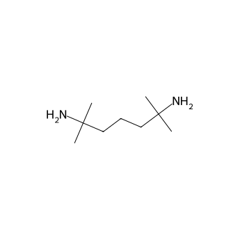 CC(C)(N)CCCC(C)(C)N